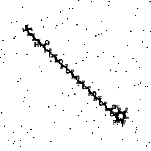 CC(C)(C)CCCCNC(=O)CCOCCOCCOCCOCCOCCOCCOCCC(=O)Oc1c(F)c(F)cc(F)c1F